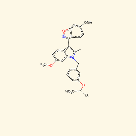 CC[C@@H](Oc1cccc(Cn2c(C)c(-c3noc4cc(OC)ccc34)c3ccc(OC(F)(F)F)cc32)c1)C(=O)O